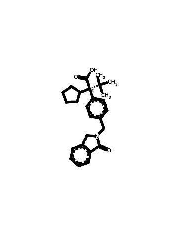 CC(C)(C)[C@](C(=O)O)(c1ccc(CN2Cc3ccccc3C2=O)cc1)C1CCCC1